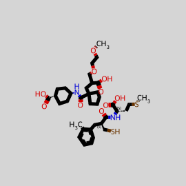 COCCOCC(CC1(C(=O)N[C@H]2CC[C@@H](C(=O)O)CC2)CCCC1)C(=O)O.CSCC[C@H](NC(=O)[C@@H](CS)Cc1ccccc1C)C(=O)O